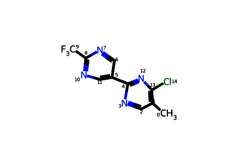 Cc1cnc(-c2cnc(C(F)(F)F)nc2)nc1Cl